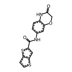 O=C1COc2cc(NC(=O)c3cc4sccc4s3)ccc2N1